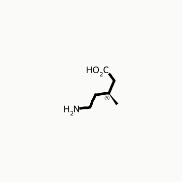 C[C@@H](CCN)CC(=O)O